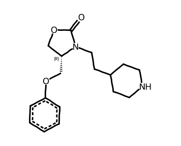 O=C1OC[C@@H](COc2ccccc2)N1CCC1CCNCC1